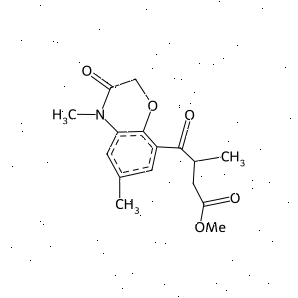 COC(=O)CC(C)C(=O)c1cc(C)cc2c1OCC(=O)N2C